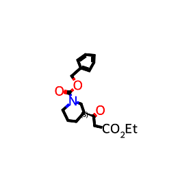 CCOC(=O)CC(=O)[C@H]1CCCN(C(=O)OCc2ccccc2)C1